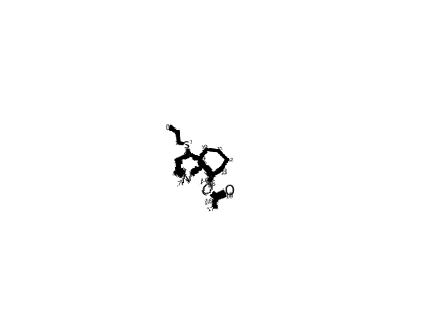 CCCSc1ccnc2c1CCCCC2OC(C)=O